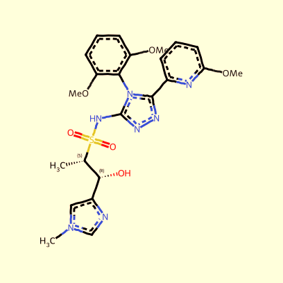 COc1cccc(-c2nnc(NS(=O)(=O)[C@@H](C)[C@H](O)c3cn(C)cn3)n2-c2c(OC)cccc2OC)n1